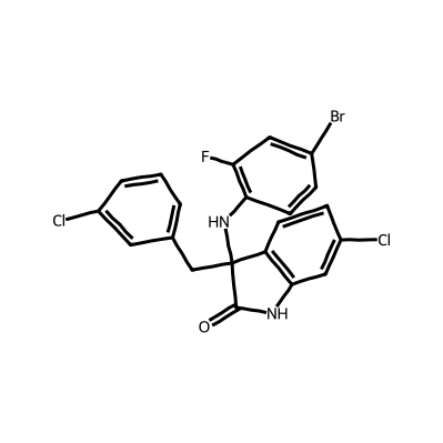 O=C1Nc2cc(Cl)ccc2C1(Cc1cccc(Cl)c1)Nc1ccc(Br)cc1F